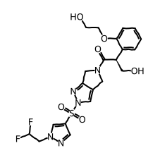 O=C([C@H](CO)c1ccccc1OCCO)N1Cc2cn(S(=O)(=O)c3cnn(CC(F)F)c3)nc2C1